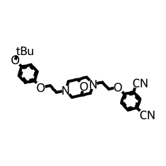 CC(C)(C)Oc1ccc(OCCN2CC3CN(CCOc4ccc(C#N)cc4C#N)CC(C2)O3)cc1